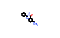 NCc1ccc2nc(-c3ccccc3)[nH]c(=O)c2c1